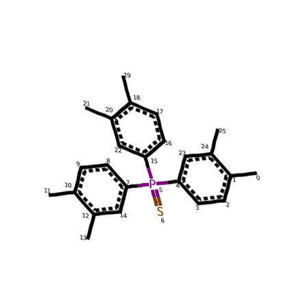 Cc1ccc(P(=S)(c2ccc(C)c(C)c2)c2ccc(C)c(C)c2)cc1C